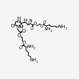 C[C@H](NC(=O)CC[C@H](N)C(=O)OCCOC(=O)[C@@H](N)CCCCN)C(=O)NCC(=O)OCCOC(=O)[C@@H](N)CCCCN